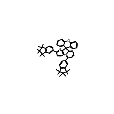 CC1(C)c2ccc(-c3cccc(C4(c5cccc(-c6ccc7c(c6)C(C)(C)C(C)(C)C7(C)C)n5)c5ccccc5Oc5ccccc54)n3)cc2C(C)(C)C1(C)C